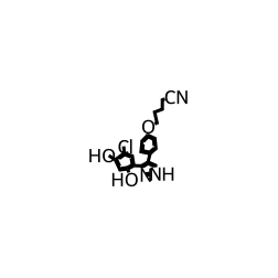 N#CCCCCOc1ccc(-c2c[nH]nc2-c2cc(Cl)c(O)cc2O)cc1